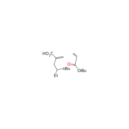 C=C(CC(CC)CCCC)C(=O)O.C=CC(=O)OCC(C)C